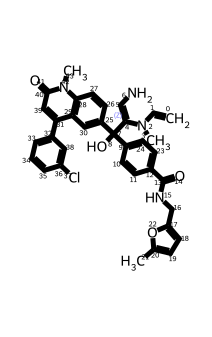 C=CN(C)/C(=C\N)C(O)(c1ccc(C(=O)NCc2ccc(C)o2)cc1)c1ccc2c(c1)c(-c1cccc(Cl)c1)cc(=O)n2C